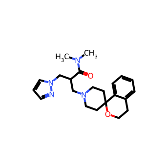 CN(C)C(=O)C(CN1CCC2(CC1)OCCc1ccccc12)Cn1cccn1